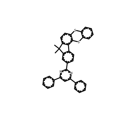 CC1(C)c2cc(-c3nc(-c4ccccc4)cc(-c4ccccc4)n3)ccc2-c2c1ccc1c2Sc2ccccc2S1